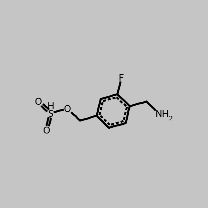 NCc1ccc(CO[SH](=O)=O)cc1F